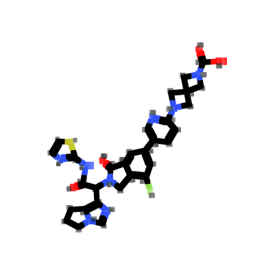 O=C(Nc1nccs1)C(c1ncn2c1CCC2)N1Cc2c(F)cc(-c3ccc(N4CC5(CN(C(=O)O)C5)C4)nc3)cc2C1=O